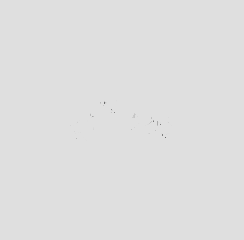 C=C(CCNC(=O)c1cc2ncccn2n1)NC(=O)COc1ccc(Cl)c(F)c1